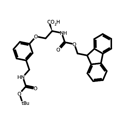 CC(C)(C)OC(=O)NCc1cccc(OC[C@H](NC(=O)OCC2c3ccccc3-c3ccccc32)C(=O)O)c1